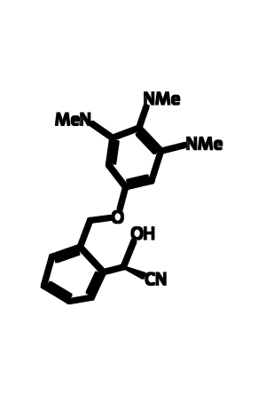 CNc1cc(OCc2ccccc2[C@@H](O)C#N)cc(NC)c1NC